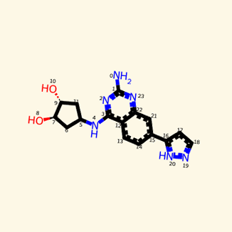 Nc1nc(NC2C[C@@H](O)[C@H](O)C2)c2ccc(-c3ccn[nH]3)cc2n1